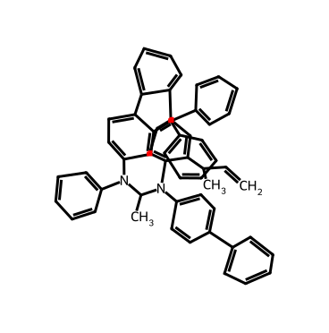 C=CC(C)c1ccccc1N(c1ccc(-c2ccccc2)cc1)C(C)N(c1ccccc1)c1ccc2c(c1)C(c1ccccc1)(c1ccccc1)c1ccccc1-2